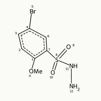 COc1ccc(Br)cc1S(=O)(=O)NN